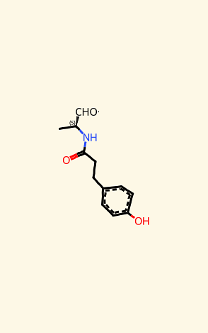 C[C@@H]([C]=O)NC(=O)CCc1ccc(O)cc1